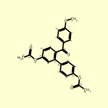 COc1ccc(C(=O)c2ccc(OC(C)=O)cc2-c2ccc(OC(C)=O)cc2)cc1